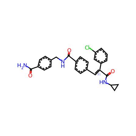 NC(=O)c1ccc(CNC(=O)c2ccc(/C=C(/C(=O)NC3CC3)c3cccc(Cl)c3)cc2)cc1